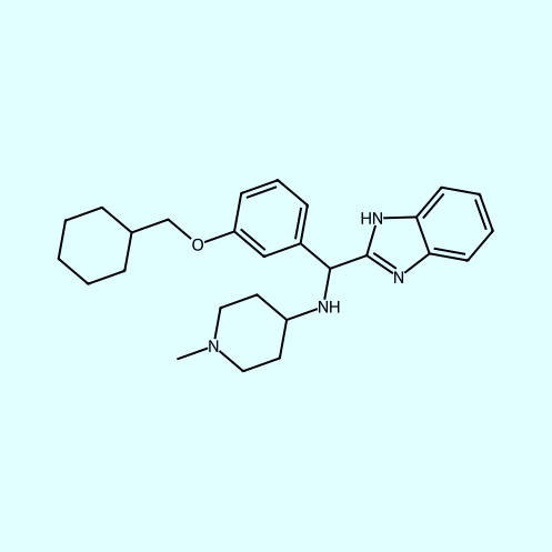 CN1CCC(NC(c2cccc(OCC3CCCCC3)c2)c2nc3ccccc3[nH]2)CC1